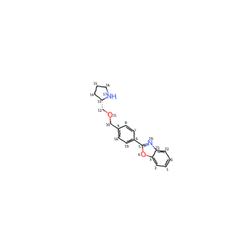 c1ccc2oc(-c3ccc(COC[C@@H]4CCCN4)cc3)nc2c1